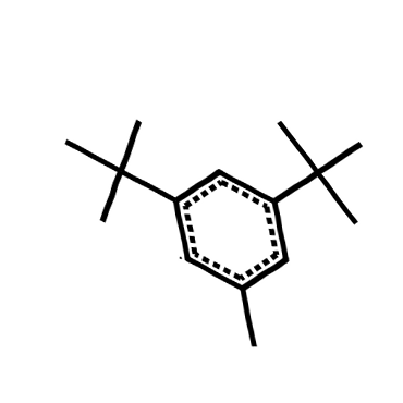 Cc1[c]c(C(C)(C)C)cc(C(C)(C)C)c1